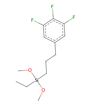 CC[Si](CCCc1cc(F)c(F)c(F)c1)(OC)OC